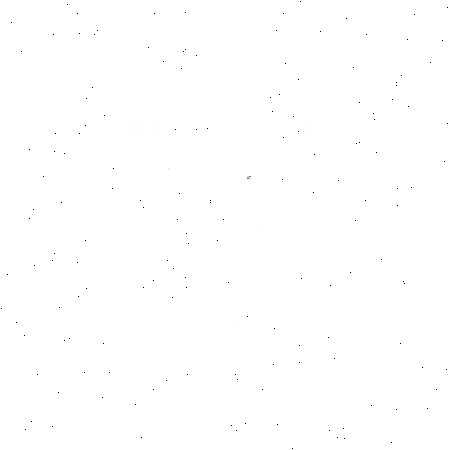 O=CC1=C(c2ccccc2)C=C(c2ccccc2)C[C@@H]1c1ccccc1